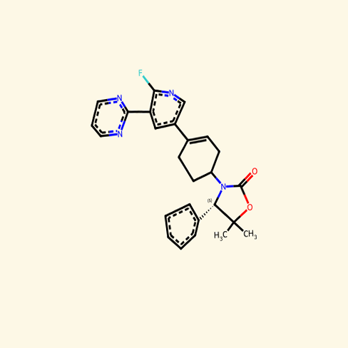 CC1(C)OC(=O)N(C2CC=C(c3cnc(F)c(-c4ncccn4)c3)CC2)[C@H]1c1ccccc1